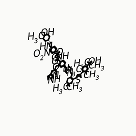 Cc1cc(C(C)(C)O)cc(C)c1-c1csc(C2=C(CN3CCN(c4ccc(C(=O)NS(=O)(=O)c5ccc(NC[C@H]6CC[C@](C)(O)CC6)c([N+](=O)[O-])c5)c(Oc5cnc6[nH]ccc6c5)c4)CC3)CCC(C)(C)C2)c1